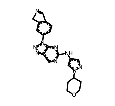 C1=NCc2cc(-n3nnc4cnc(Nc5cnn(C6CCOCC6)c5)nc43)ccc21